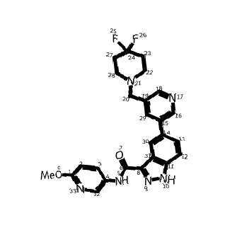 COc1ccc(NC(=O)c2n[nH]c3ccc(-c4cncc(CN5CCC(F)(F)CC5)c4)cc23)cn1